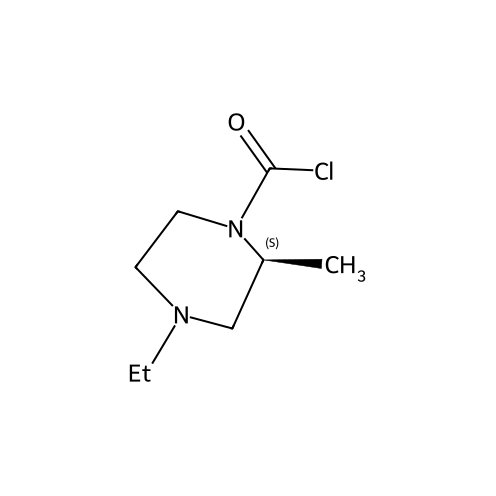 CCN1CCN(C(=O)Cl)[C@@H](C)C1